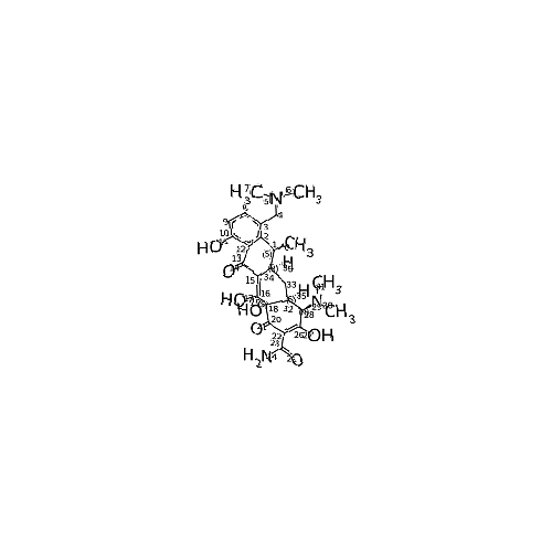 C[C@@H]1c2c(CN(C)C)ccc(O)c2C(=O)C2=C(O)[C@]3(O)C(=O)C(C(N)=O)=C(O)[C@H](N(C)C)[C@@H]3C[C@@H]21